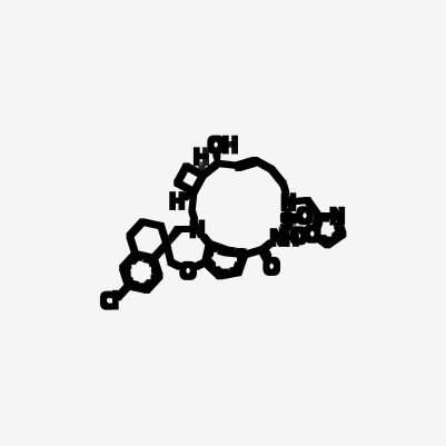 O=C1NS(=O)(=O)N(Cc2ncco2)CC/C=C/[C@H](O)[C@@H]2CC[C@H]2CN2C[C@@]3(CCCc4cc(Cl)ccc43)COc3ccc1cc32